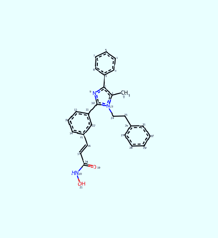 Cc1c(-c2ccccc2)nc(-c2cccc(C=CC(=O)NO)c2)n1CCc1ccccc1